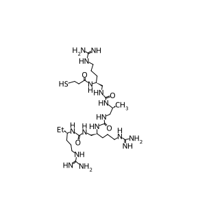 CC[C@H](CCCNC(=N)N)NC(=O)NC[C@H](CCCNC(=N)N)NC(=O)NC[C@H](C)NC(=O)NC[C@H](CCCNC(=N)N)NC(=O)CCS